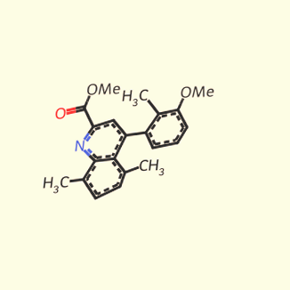 COC(=O)c1cc(-c2cccc(OC)c2C)c2c(C)ccc(C)c2n1